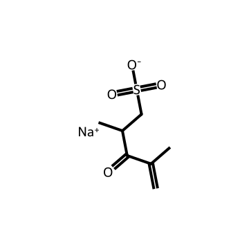 C=C(C)C(=O)C(C)CS(=O)(=O)[O-].[Na+]